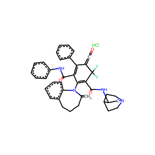 C=C1CCCc2ccccc2N1C1=C(C(=O)NC2CN3CCC2CC3)C(F)(F)C(=C=O)C(c2ccccc2)=C1C(=O)Nc1ccccc1.Cl